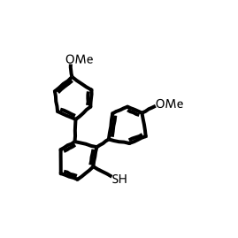 COc1ccc(-c2cccc(S)c2-c2ccc(OC)cc2)cc1